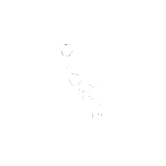 CCN(/C(=N\c1ccc(OCc2ccccc2C)cc1)NCC(C)(C)CN)C(C)C